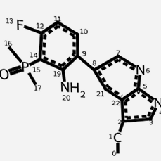 CCc1c[nH]c2ncc(-c3ccc(F)c(P(C)(C)=O)c3N)cc12